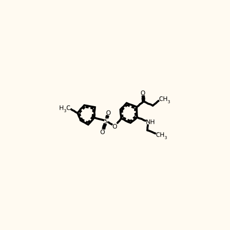 CCNc1cc(OS(=O)(=O)c2ccc(C)cc2)ccc1C(=O)CC